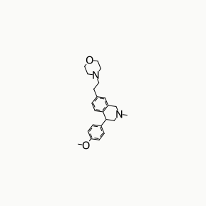 COc1ccc(C2CN(C)Cc3cc(CCN4CCOCC4)ccc32)cc1